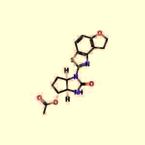 CC(=O)O[C@@H]1CC[C@@H]2[C@H]1NC(=O)N2c1nc2c3c(ccc2s1)OCC3